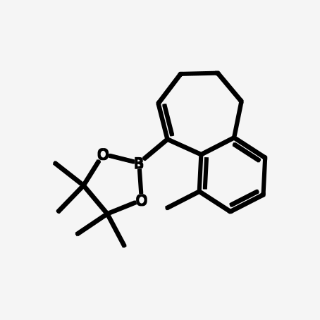 Cc1cccc2c1C(B1OC(C)(C)C(C)(C)O1)=CCCC2